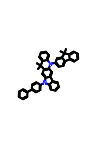 CC1(C)c2ccccc2-c2ccc(N3c4ccccc4C(C)(C)c4cc5c(cc43)c3ccccc3n5-c3ccc(-c4ccccc4)cc3)cc21